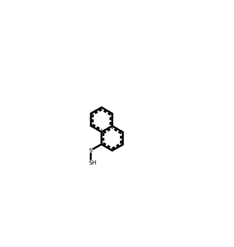 SSc1cccc2ccccc12